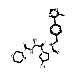 Cc1ncsc1-c1ccc(CNC(=O)[C@@H]2C[C@@H](O)CN2C(=O)[C@@H](NC(=O)[C@H]2COCCN2)C(C)(C)C)cc1